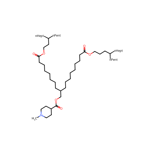 CCCCCCCC(CCCCC)CCCOC(=O)CCCCCCCCC(CCCCCCCC(=O)OCCC(CCCCC)CCCCCCC)COC(=O)C1CCN(C)CC1